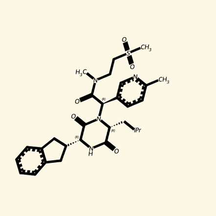 Cc1ccc([C@H](C(=O)N(C)CCS(C)(=O)=O)N2C(=O)[C@@H](C3Cc4ccccc4C3)NC(=O)[C@H]2CC(C)C)cn1